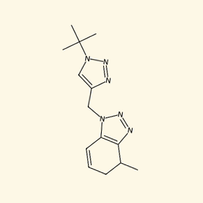 CC1CC=Cc2c1nnn2Cc1cn(C(C)(C)C)nn1